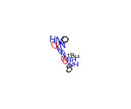 CC(C)(C)C(NC(=O)c1cc2ccccc2[nH]1)C(=O)N1CCN(C(=O)c2nc3ccccc3[nH]2)CC1